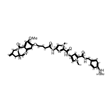 C=C1C[C@H]2C=Nc3cc(OCCCC(=O)Nc4cn(C)c(C(=O)Nc5cc(C(=O)NCc6ccc(NC(C)(C)C)cc6)n(C)c5)n4)c(OC)cc3C(=O)N2C1